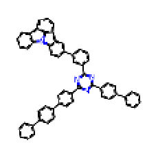 c1ccc(-c2ccc(-c3ccc(-c4nc(-c5ccc(-c6ccccc6)cc5)nc(-c5cccc(-c6ccc7c(c6)c6cccc8c9ccccc9n7c86)c5)n4)cc3)cc2)cc1